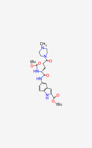 CN1CCN(C(=O)CC[C@H](NC(=O)OC(C)(C)C)C(=O)Nc2ccc3[nH]c(C(=O)OC(C)(C)C)cc3c2)CC1